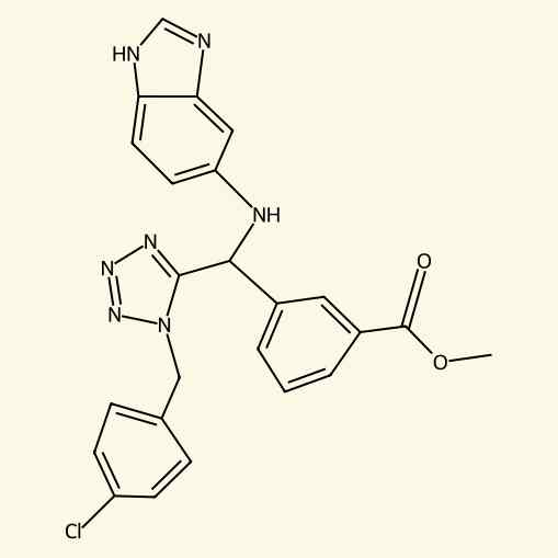 COC(=O)c1cccc(C(Nc2ccc3[nH]cnc3c2)c2nnnn2Cc2ccc(Cl)cc2)c1